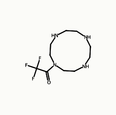 O=C(N1CCNCCNCCNCC1)C(F)(F)F